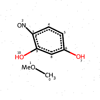 COC.O=Nc1ccc(O)cc1O